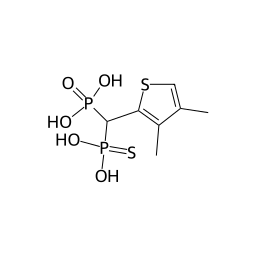 Cc1csc(C(P(=O)(O)O)P(O)(O)=S)c1C